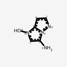 Nc1cn(O)c2ccnn12